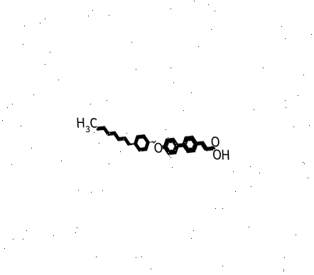 CCCCCCCC[C@H]1CC[C@H](COc2ccc(-c3ccc(C=CC(=O)O)cc3)cc2)CC1